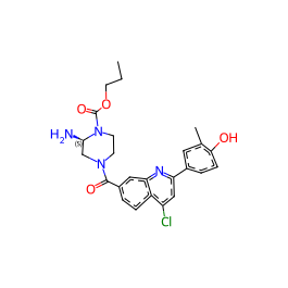 CCCOC(=O)N1CCN(C(=O)c2ccc3c(Cl)cc(-c4ccc(O)c(C)c4)nc3c2)C[C@H]1N